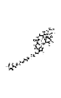 Cc1cc2cc(C(=O)N3CCN(C(=O)C(NC(=O)C(C)N(C)C(=O)O)C4CCCCC4)CC3)ccc2n1CCOCCOCCOCCOCc1ccccc1